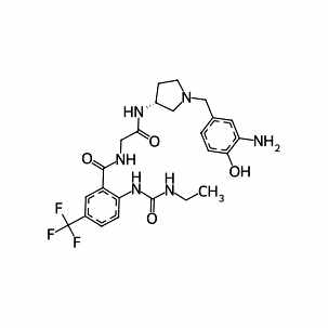 CCNC(=O)Nc1ccc(C(F)(F)F)cc1C(=O)NCC(=O)N[C@@H]1CCN(Cc2ccc(O)c(N)c2)C1